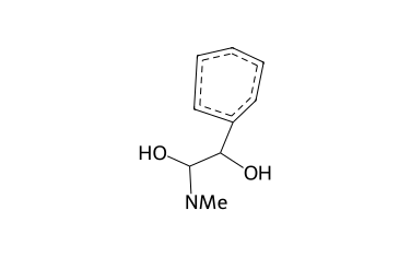 CNC(O)C(O)c1ccccc1